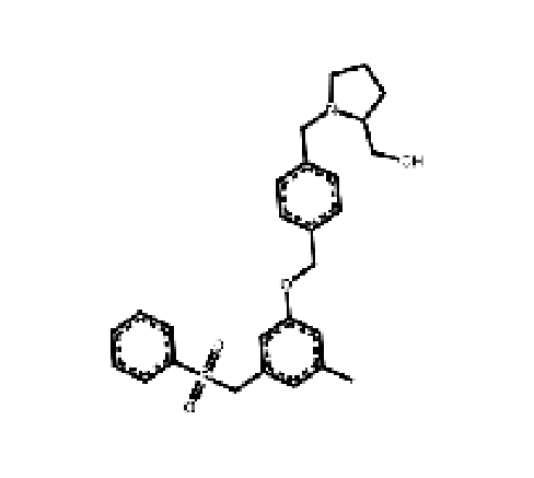 Cc1cc(CS(=O)(=O)c2ccccc2)cc(OCc2ccc(CN3CCCC3CO)cc2)c1